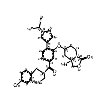 CSCN(Cc1ccc(Cl)cc1)C(=O)c1cc(O[C@H]2CCN3C(=O)OC[C@@H]3C2)c(-c2cnn(C(F)F)c2)cn1